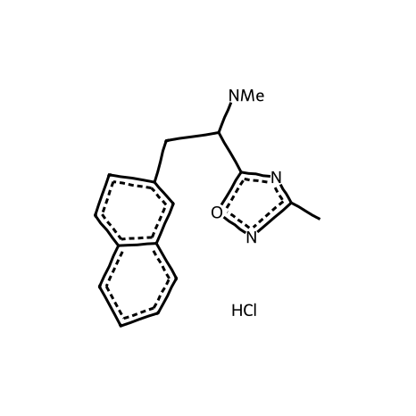 CNC(Cc1ccc2ccccc2c1)c1nc(C)no1.Cl